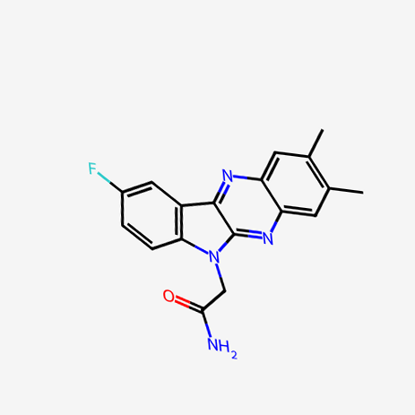 Cc1cc2nc3c4cc(F)ccc4n(CC(N)=O)c3nc2cc1C